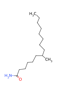 CCCCCCCCC(C)CCCCCC(N)=O